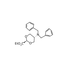 CCOC(=O)[C@H]1OC[C@H](N(Cc2ccccc2)Cc2ccccc2)CO1